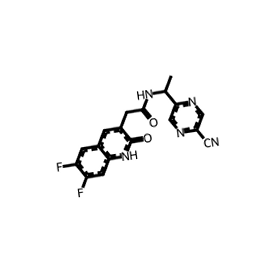 CC(NC(=O)Cc1cc2cc(F)c(F)cc2[nH]c1=O)c1cnc(C#N)cn1